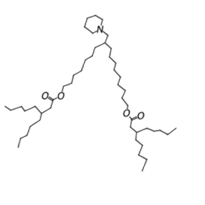 CCCCCC(CCCCC)CC(=O)OCCCCCCCCCC(CCCCCCCOC(=O)CC(CCCCC)CCCCC)CN1CCCCC1